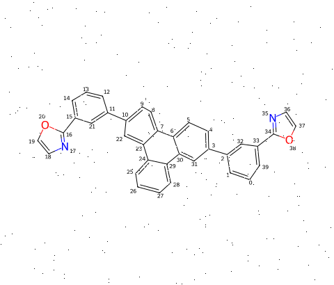 c1cc(-c2ccc3c4ccc(-c5cccc(-c6ncco6)c5)cc4c4ccccc4c3c2)cc(-c2ncco2)c1